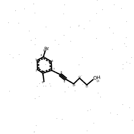 Cc1ccc(Br)cc1C#CCCCO